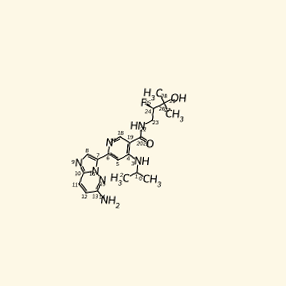 CC(C)Nc1cc(-c2cnc3ccc(N)nn23)ncc1C(=O)NC[C@@H](F)C(C)(C)O